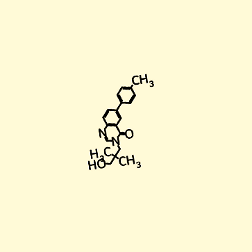 Cc1ccc(-c2ccc3ncn(CC(C)(C)CO)c(=O)c3c2)cc1